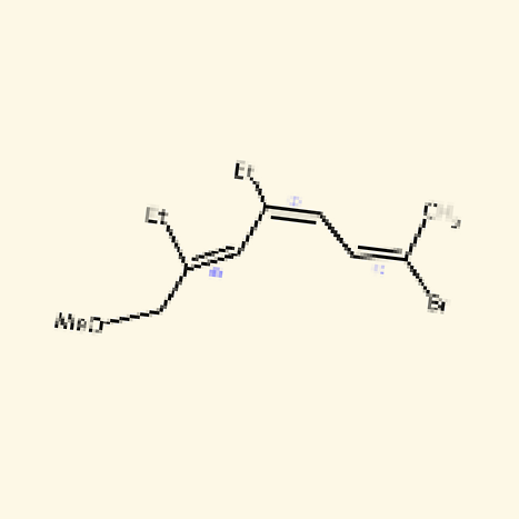 CCC(=C/C=C(\C)Br)/C=C(\CC)COC